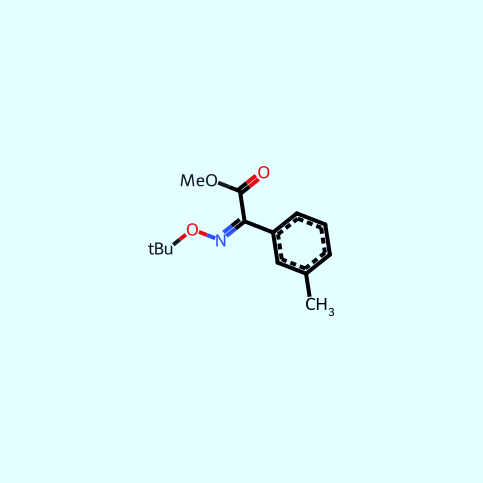 COC(=O)C(=NOC(C)(C)C)c1cccc(C)c1